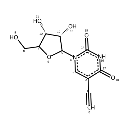 C#Cc1cn(C2OC(CO)[C@H](O)[C@@H]2O)c(=O)[nH]c1=O